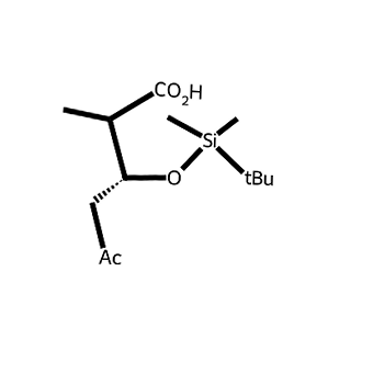 CC(=O)C[C@@H](O[Si](C)(C)C(C)(C)C)C(C)C(=O)O